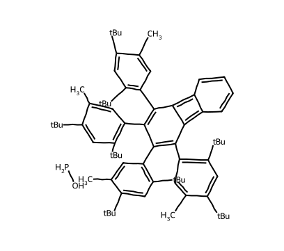 Cc1cc(-c2c(-c3cc(C)c(C(C)(C)C)cc3C(C)(C)C)c(-c3cc(C)c(C(C)(C)C)cc3C(C)(C)C)c3c(c2-c2cc(C)c(C(C)(C)C)cc2C(C)(C)C)=c2ccccc2=3)c(C(C)(C)C)cc1C(C)(C)C.OP